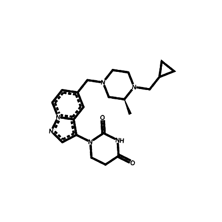 C[C@H]1CN(Cc2ccn3ncc(N4CCC(=O)NC4=O)c3c2)CCN1CC1CC1